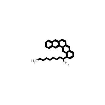 CCCCCCCCC(C)c1cccc2cc3ccc4cc5ccccc5cc4c3cc12